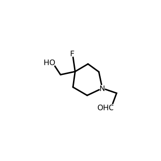 O=CCN1CCC(F)(CO)CC1